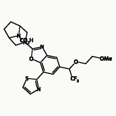 COCCOC(c1cc(-c2nccs2)c2oc(N3CC4CCC(C3)N4C(=O)O)nc2c1)C(F)(F)F